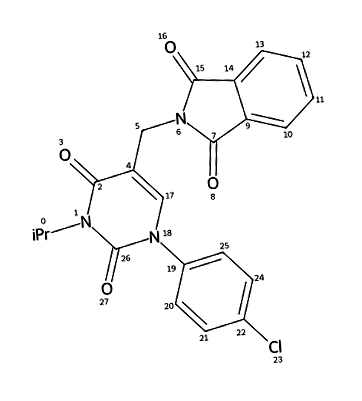 CC(C)n1c(=O)c(CN2C(=O)c3ccccc3C2=O)cn(-c2ccc(Cl)cc2)c1=O